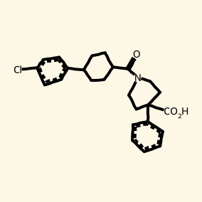 O=C(C1CCC(c2ccc(Cl)cc2)CC1)N1CCC(C(=O)O)(c2ccccc2)CC1